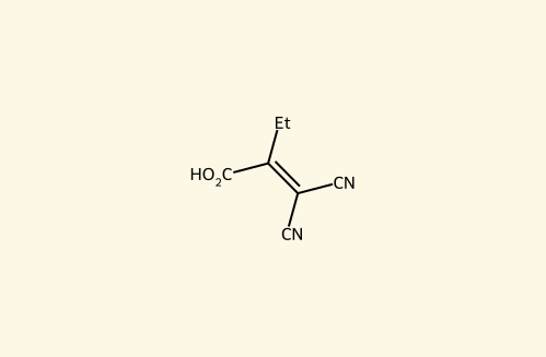 CCC(C(=O)O)=C(C#N)C#N